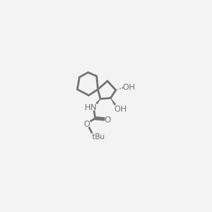 CC(C)(C)OC(=O)N[C@@H]1[C@H](O)[C@@H](O)CC12CCCCC2